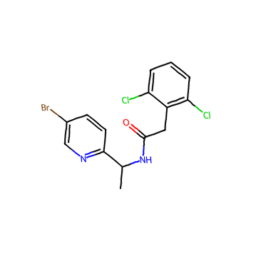 CC(NC(=O)Cc1c(Cl)cccc1Cl)c1ccc(Br)cn1